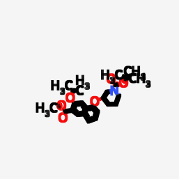 COC(=O)c1cc2cccc(O[C@@H]3CCCN(C(=O)OC(C)(C)C)C3)c2cc1OC(C)C